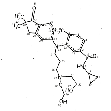 Cc1ccc(C(=O)NC2CC2)cc1N(CCCN(CCO)CCO)c1ccc2c(c1)CC(C)(C)C2=O